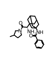 CC1CCN(C(=O)[C@@H](N)C23CC4CC(CC(NC(=O)c5ccccc5)(C4)C2)C3)C1